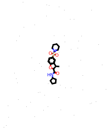 CC1c2cc(S(=O)(=O)N3CCCCC3)ccc2OC1C(=O)NC1CCCC1